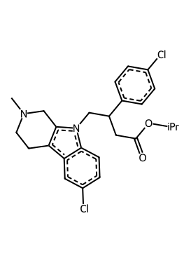 CC(C)OC(=O)CC(Cn1c2c(c3cc(Cl)ccc31)CCN(C)C2)c1ccc(Cl)cc1